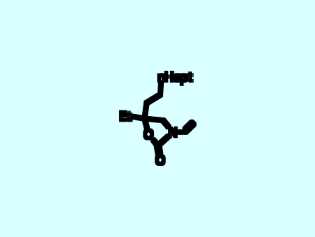 C=CN1CC(CC)(CCCCCCCCC)OC1=O